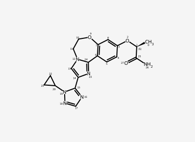 C[C@H](Oc1ccc2c(c1)OCCn1cc(-c3ncnn3C3CC3)nc1-2)C(N)=O